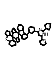 C1=C(c2cccc(-c3cccc4c3-c3ccccc3C43c4ccccc4C4(c5ccccc5Sc5ccccc54)c4ccccc43)c2)N=C(c2ccccc2)NC1c1ccccn1